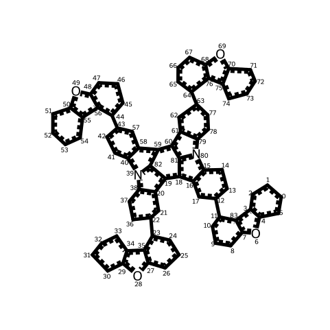 c1ccc2c(c1)oc1cccc(-c3ccc4c(c3)c3c5c6cc(-c7cccc8oc9ccccc9c78)ccc6n6c7ccc(-c8cccc9oc%10ccccc%10c89)cc7c(c7c8cc(-c9cccc%10oc%11ccccc%11c9%10)ccc8n4c37)c56)c12